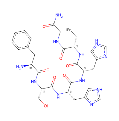 CC(C)C[C@H](NC(=O)[C@H](Cc1c[nH]cn1)NC(=O)[C@H](Cc1c[nH]cn1)NC(=O)[C@H](CO)NC(=O)[C@@H](N)Cc1ccccc1)C(=O)NCC(N)=O